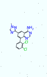 Cn1cnc(-c2cc(-c3cccc(Cl)c3Cl)c3ncnc(N)c3c2)n1